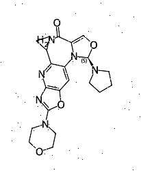 NC(=O)C1=CO[C@@H](N2CCCC2)N1c1cc2oc(N3CCOCC3)nc2nc1C1CC1